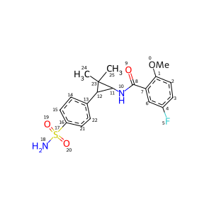 COc1ccc(F)cc1C(=O)NC1C(c2ccc(S(N)(=O)=O)cc2)C1(C)C